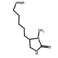 CCCCCCCCCCCCC1CNC(=O)N1C